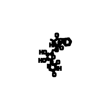 C[C@H](NP(=O)(OC[C@H]1O[C@@H](n2ncc(=O)[nH]c2=O)[C@H](O)[C@@H]1O)Oc1ccccc1)C(=O)O